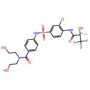 C[C@@](O)(C(=O)Nc1ccc(S(=O)(=O)Nc2ccc(C(=O)N(CCO)CCO)cc2)cc1Cl)C(F)(F)F